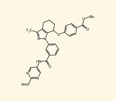 COc1ncc(NC(=O)c2cccc(-n3nc(C(F)(F)F)c4c3C(Oc3ccc(C(=O)OC(C)(C)C)cc3)CCC4)c2)cn1